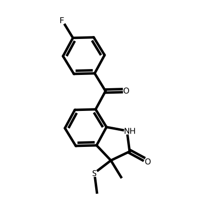 CSC1(C)C(=O)Nc2c(C(=O)c3ccc(F)cc3)cccc21